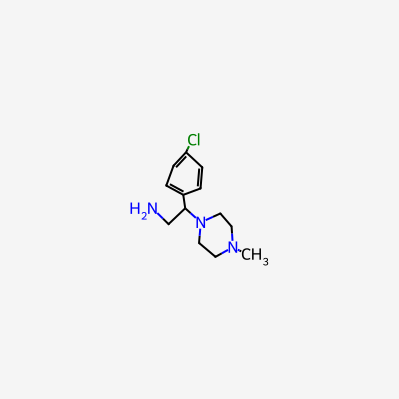 CN1CCN(C(CN)c2ccc(Cl)cc2)CC1